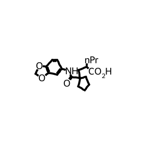 CCCC(CC1(C(=O)Nc2ccc3c(c2)OCO3)CCCC1)C(=O)O